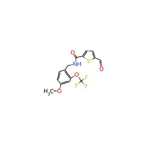 COc1ccc(CNC(=O)c2ccc(C=O)s2)c(OC(F)(F)F)c1